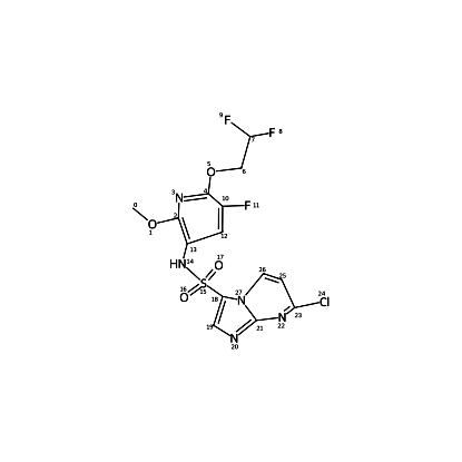 COc1nc(OCC(F)F)c(F)cc1NS(=O)(=O)c1cnc2nc(Cl)ccn12